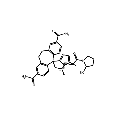 Cc1nnc(C2(C[C@H](C)NCC(=O)N3CCCC3C#N)c3ccc(C(N)=O)cc3CCc3cc(C(N)=O)ccc32)[nH]1